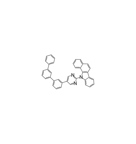 c1ccc(-c2cccc(-c3cccc(-c4cnc(-n5c6ccccc6c6ccc7ccccc7c65)nc4)c3)c2)cc1